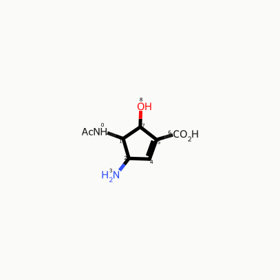 CC(=O)NC1C(N)C=C(C(=O)O)C1O